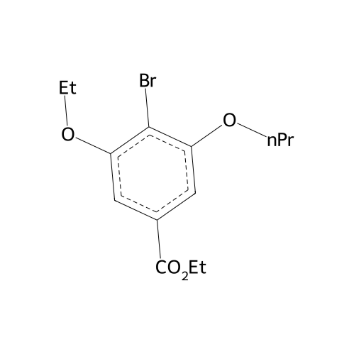 CCCOc1cc(C(=O)OCC)cc(OCC)c1Br